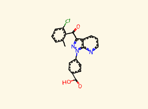 Cc1cccc(Cl)c1C(=O)c1nn(-c2ccc(C(=O)O)cc2)c2ncccc12